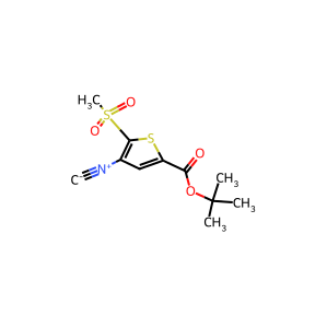 [C-]#[N+]c1cc(C(=O)OC(C)(C)C)sc1S(C)(=O)=O